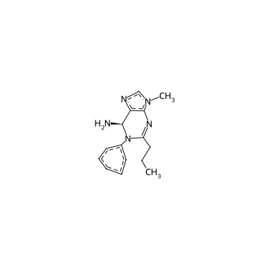 CCCC1=Nc2c(ncn2C)[C@H](N)N1c1ccccc1